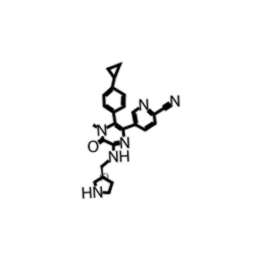 Cn1c(-c2ccc(C3CC3)cc2)c(-c2ccc(C#N)nc2)nc(NC[C@H]2CCNC2)c1=O